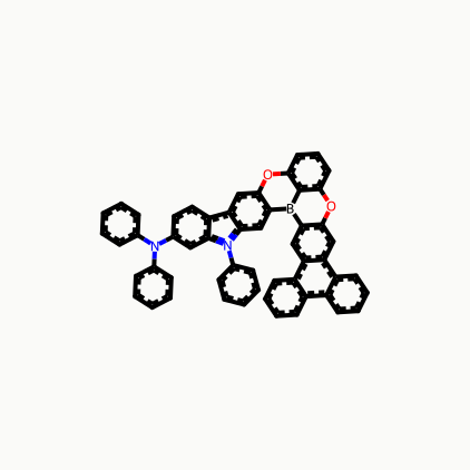 c1ccc(N(c2ccccc2)c2ccc3c4cc5c(cc4n(-c4ccccc4)c3c2)B2c3cc4c6ccccc6c6ccccc6c4cc3Oc3cccc(c32)O5)cc1